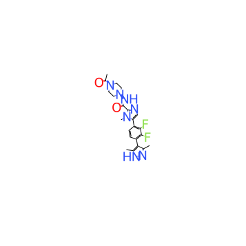 CC(=O)N1CCN(NC(=O)c2ncc(-c3ccc(-c4c(C)n[nH]c4C)c(F)c3F)n2C)CC1